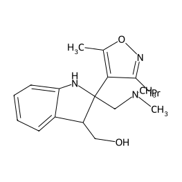 Cc1onc(C(C)C)c1C1(CN(C)C)Nc2ccccc2C1CO